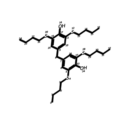 CCCCSc1cc(Cc2cc(SCCCC)c(O)c(SCCCC)c2)cc(SCCCC)c1O